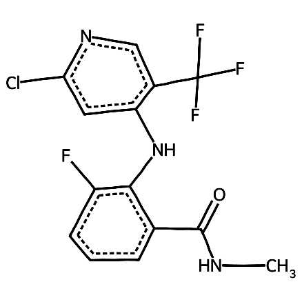 CNC(=O)c1cccc(F)c1Nc1cc(Cl)ncc1C(F)(F)F